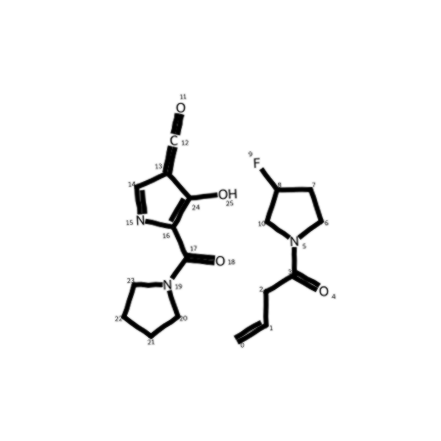 C=CCC(=O)N1CCC(F)C1.O=C=C1C=NC(C(=O)N2CCCC2)=C1O